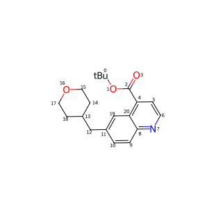 CC(C)(C)OC(=O)c1ccnc2ccc(CC3CCOCC3)cc12